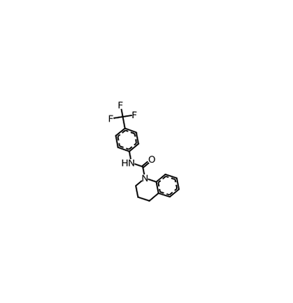 O=C(Nc1ccc(C(F)(F)F)cc1)N1CCCc2ccccc21